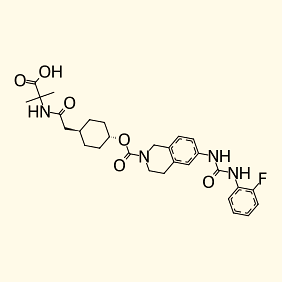 CC(C)(NC(=O)C[C@H]1CC[C@H](OC(=O)N2CCc3cc(NC(=O)Nc4ccccc4F)ccc3C2)CC1)C(=O)O